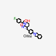 COc1cc(/C=C2\CCCN3C2=NOC3(CO)c2ccc(F)cc2)ccc1N1Cc2ccccc2C1